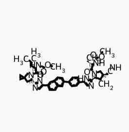 C=C1[C@H](C=C=N)CN(C(=O)[C@H](CC)NC(=O)OC)[C@@H]1c1ncc(-c2ccc(-c3ccc4cc(-c5cnc([C@@H]6CC7(CC7)CN6C(=O)[C@H](C=C(C)C)NC(=O)OC)[nH]5)ccc4c3)cc2)[nH]1